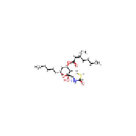 CCCCC[C@@H]1CC(OC(=O)/C=C(/C)CCCC)C[C@](O)([C@@H]2CSC(=O)N2)O1